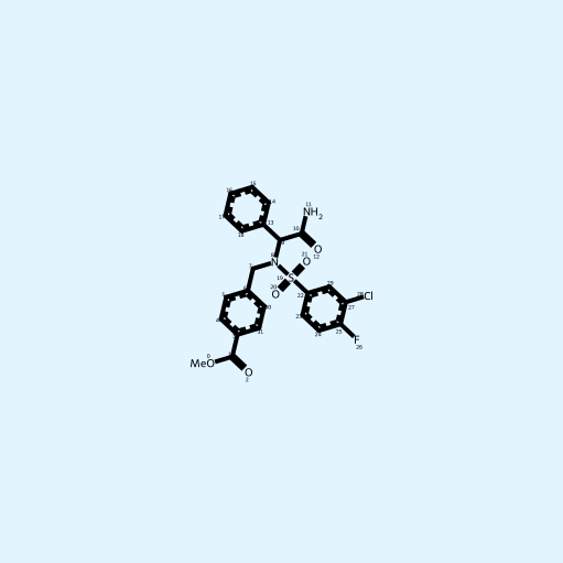 COC(=O)c1ccc(CN(C(C(N)=O)c2ccccc2)S(=O)(=O)c2ccc(F)c(Cl)c2)cc1